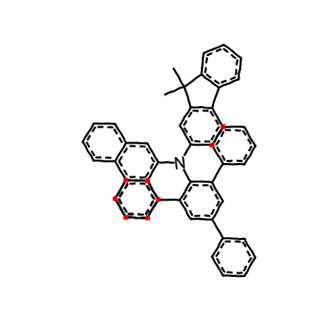 CC1(C)c2ccccc2-c2ccc(N(c3c(-c4ccccc4)cc(-c4ccccc4)cc3-c3ccccc3)c3cc4ccccc4c4ccccc34)cc21